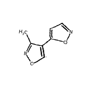 Cc1no[c]c1-c1ccno1